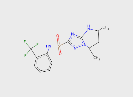 CC1CC(C)n2nc(S(=O)(=O)Nc3ccccc3C(F)(F)F)nc2N1